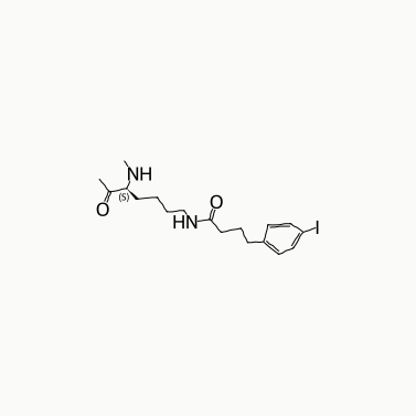 CN[C@@H](CCCCNC(=O)CCCc1ccc(I)cc1)C(C)=O